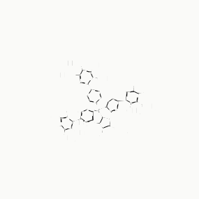 CC1=C(C)C(C)C([Si](c2ccc(-c3c(C)c(C)c(C)c(C)c3C)cc2)(c2ccc(-c3c(C)c(C)c(C)c(C)c3C)cc2)c2ccc(-c3c(C)c(C)c(C)c(C)c3C)cc2)=C1C